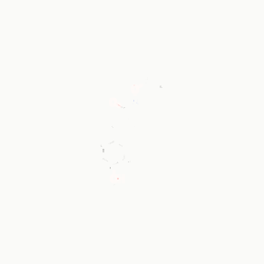 O=C(C(I)Cc1ccc(O)cc1)N1CCCCO1